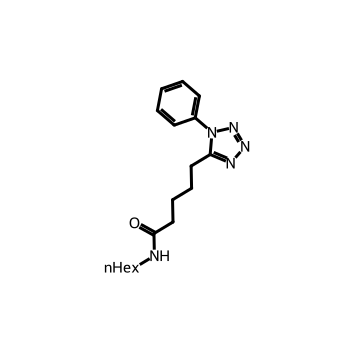 CCCCCCNC(=O)CCCCc1nnnn1-c1ccccc1